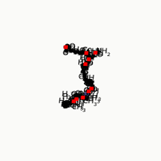 CN[C@H](C(=O)N[C@H](C(=O)N(C)[C@H](/C=C(\C)C(=O)NS(=O)(=O)Cc1ccc(CNC(=O)OCc2ccc(NC(=O)[C@H](CCCNC(N)=O)NC(=O)[C@@H](NC(=O)CCCCCN3C(=O)C=CC3=O)C(C)C)cc2)cc1)C(C)C)C(C)(C)C)C(C)(C)c1ccccc1